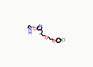 C[C@H](CCOCCCOc1ccc(Cl)cc1)Cc1cncc(OC[C@@H]2CCN2)c1